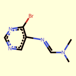 CN(C)C=Nc1cncnc1Br